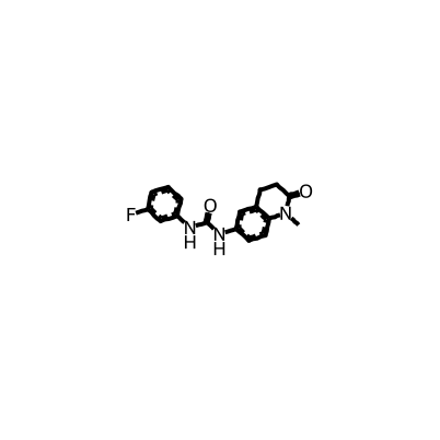 CN1C(=O)CCc2cc(NC(=O)Nc3cccc(F)c3)ccc21